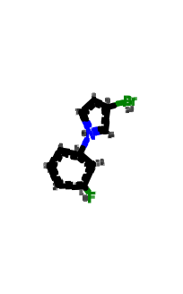 Fc1cccc(-n2ccc(Br)c2)c1